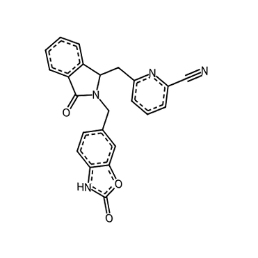 N#Cc1cccc(CC2c3ccccc3C(=O)N2Cc2ccc3[nH]c(=O)oc3c2)n1